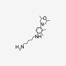 Cc1c(NCCCCCN)ccc(N2CC(C)OC(C)C2)c1C